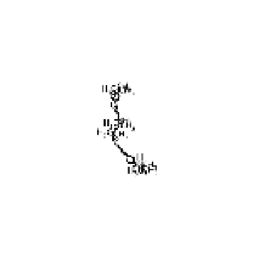 CC(NC(C)(C)C)c1ccc(C#CC#CCOCC(C)(C)CCC(C)(C)NCCCCOc2ccc(C(C)(C)C)nc2)cc1